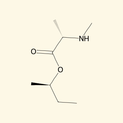 CC[C@@H](C)OC(=O)[C@H](C)NC